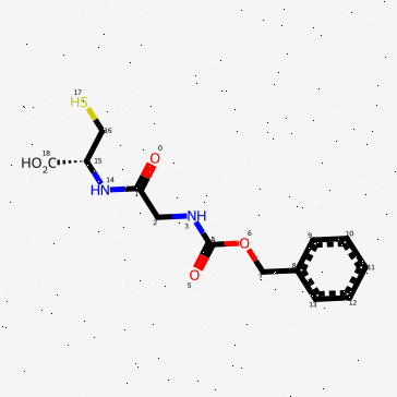 O=C(CNC(=O)OCc1ccccc1)N[C@@H](CS)C(=O)O